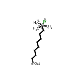 CCCCCCCCCCCCCCC[CH2][Bi]([CH3])([CH3])([CH3])[Br]